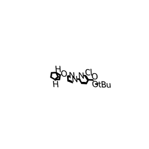 CC(C)(C)OC(=O)c1ccc(-n2ccc(O[C@H]3C[C@H]4CC[C@@H]3C4)n2)nc1Cl